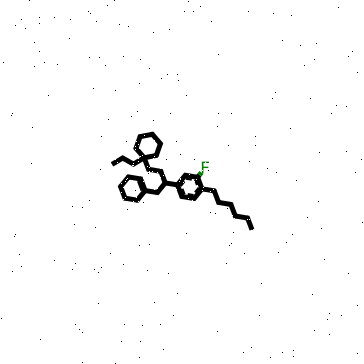 CCCCCCc1ccc(C(CCC2(CCC)CCCCC2)CC2=CCCCC2)cc1F